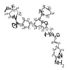 Nc1ccc(C=CC(=O)NCc2cc3cc(-c4ccc(C(=O)N5CCC(F)(F)CC5)cc4)cc(-c4ccccn4)c3o2)cn1